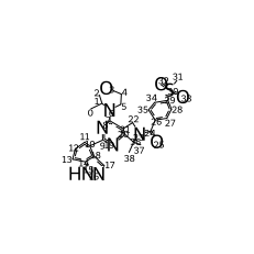 CC1COCCN1c1nc(-c2cccc3[nH]ncc23)nc2c1CN(C(=O)c1ccc(S(C)(=O)=O)cc1)C2(C)C